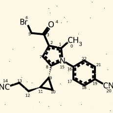 Cc1c(C(=O)CBr)cc([C@@H]2C[C@H]2CCC#N)n1-c1ccc(C#N)cc1